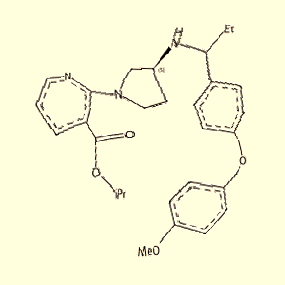 CCC(N[C@H]1CCN(c2ncccc2C(=O)OC(C)C)C1)c1ccc(Oc2ccc(OC)cc2)cc1